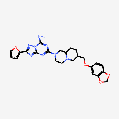 Nc1nc(N2CCN3CC(COc4ccc5c(c4)OCO5)CCC3C2)nc2nc(-c3ccco3)nn12